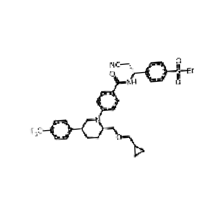 CCS(=O)(=O)c1ccc([C@@H](CC#N)NC(=O)c2ccc(N3C[C@H](c4ccc(C(F)(F)F)cc4)CC[C@@H]3COCC3CC3)cc2)cc1